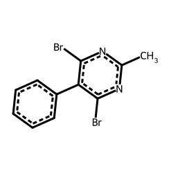 Cc1nc(Br)c(-c2ccccc2)c(Br)n1